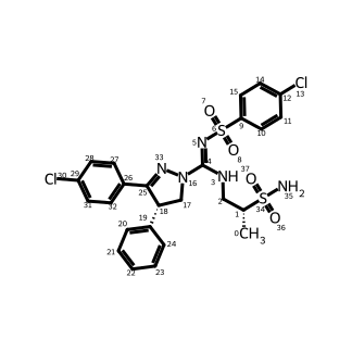 C[C@H](CN/C(=N\S(=O)(=O)c1ccc(Cl)cc1)N1C[C@H](c2ccccc2)C(c2ccc(Cl)cc2)=N1)S(N)(=O)=O